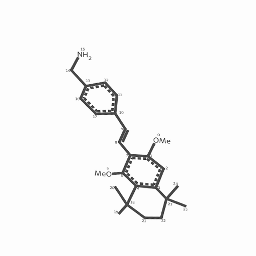 COc1cc2c(c(OC)c1C=Cc1ccc(CN)cc1)C(C)(C)CCC2(C)C